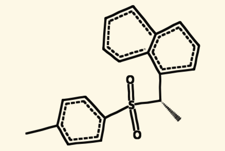 Cc1ccc(S(=O)(=O)[C@@H](C)c2cccc3ccccc23)cc1